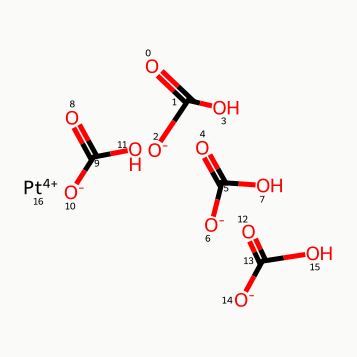 O=C([O-])O.O=C([O-])O.O=C([O-])O.O=C([O-])O.[Pt+4]